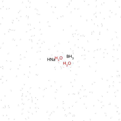 B.O.O.[NaH]